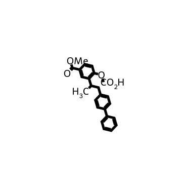 COC(=O)c1ccc(OC(=O)O)c(C(C)Cc2ccc(-c3ccccc3)cc2)c1